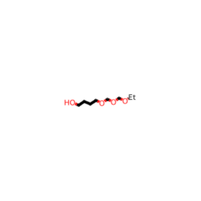 [CH2]COCOCOCCCCO